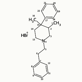 Br.CC1CN(CCc2ccccc2)CCC1(C)c1ccccc1